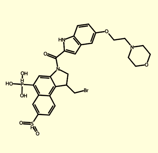 O=C(c1cc2cc(OCCN3CCOCC3)ccc2[nH]1)N1CC(CBr)c2c1cc([PH](O)(O)O)c1cc([SH](=O)=O)ccc21